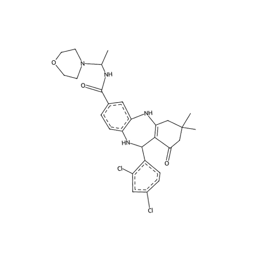 CC(NC(=O)c1ccc2c(c1)NC1=C(C(=O)CC(C)(C)C1)C(c1ccc(Cl)cc1Cl)N2)N1CCOCC1